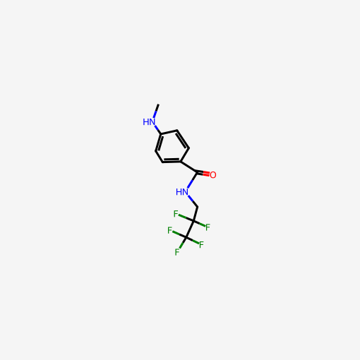 CNc1ccc(C(=O)NCC(F)(F)C(F)(F)F)cc1